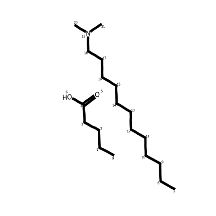 CCCCC(=O)O.CCCCCCCCCCCCN(C)C